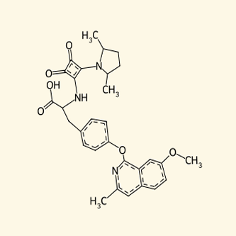 COc1ccc2cc(C)nc(Oc3ccc(CC(Nc4c(N5C(C)CCC5C)c(=O)c4=O)C(=O)O)cc3)c2c1